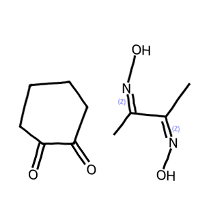 CC(=N/O)/C(C)=N\O.O=C1CCCCC1=O